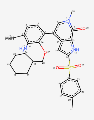 CNc1ccc(-c2cn(C)c(=O)c3[nH]c(S(=O)(=O)c4ccc(C)cc4)cc23)c(OCC2CCCCC2)c1N